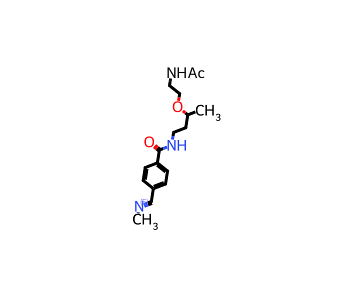 C/N=C/c1ccc(C(=O)NCCC(C)OCCNC(C)=O)cc1